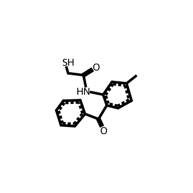 Cc1ccc(C(=O)c2ccccc2)c(NC(=O)CS)c1